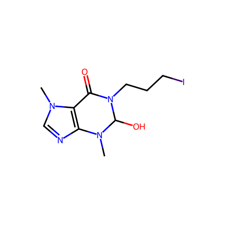 CN1c2ncn(C)c2C(=O)N(CCCI)C1O